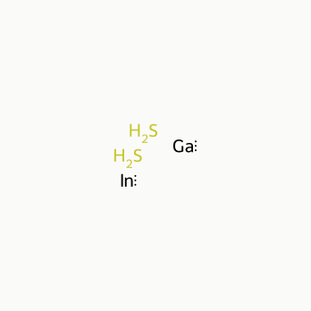 S.S.[Ga].[In]